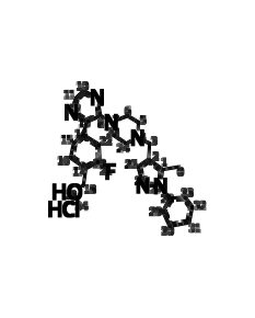 Cc1c(CN2CCN(c3nccnc3-c3ccc(CO)c(F)c3)CC2)cnn1-c1ccccc1.Cl